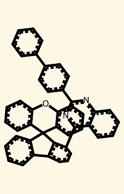 c1ccc(-c2ccc(-c3nc(-c4cccc5c4C4(c6ccccc6Oc6ccccc64)c4ccccc4-5)c4ccccc4n3)cc2)cc1